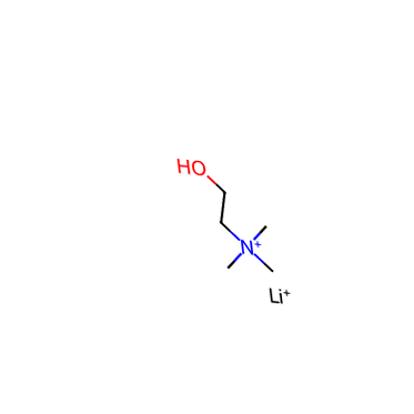 C[N+](C)(C)CCO.[Li+]